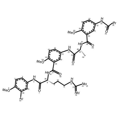 COc1ccc(NC(=O)[C@@H](CCCNC(=N)N)NC(=O)c2cc(NC(=O)[C@@H](C)NC(=O)c3cc(NC(=O)C(C)C)ccc3OC)ccc2OC)cc1C(C)=O